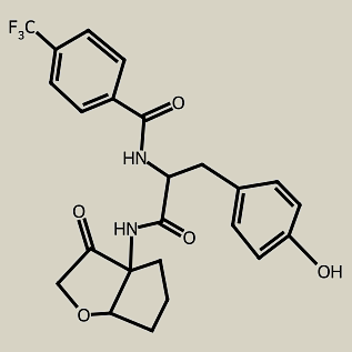 O=C(NC(Cc1ccc(O)cc1)C(=O)NC12CCCC1OCC2=O)c1ccc(C(F)(F)F)cc1